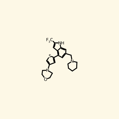 FC(F)(F)c1cc2c(-c3cc(N4CCOCC4)cs3)cc(CN3CCCCC3)cc2[nH]1